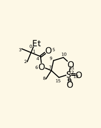 CCC(C)(C)C(=O)OC1(C)CCOS(=O)(=O)C1